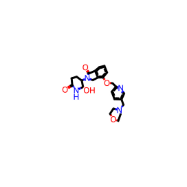 O=C1CCC(N2Cc3c(OCc4ccc(CN5CCOCC5)cn4)cccc3C2=O)C(O)N1